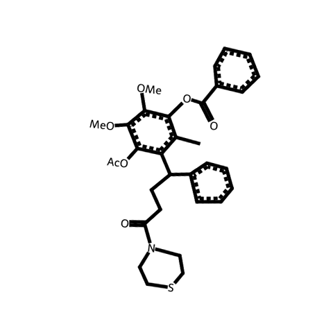 COc1c(OC(=O)c2ccccc2)c(C)c(C(CCC(=O)N2CCSCC2)c2ccccc2)c(OC(C)=O)c1OC